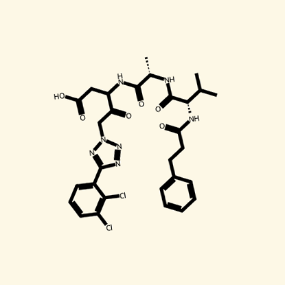 CC(C)[C@H](NC(=O)CCc1ccccc1)C(=O)N[C@@H](C)C(=O)NC(CC(=O)O)C(=O)Cn1nnc(-c2cccc(Cl)c2Cl)n1